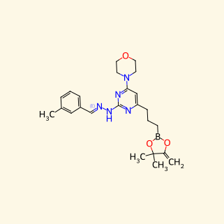 C=C1OB(CCCc2cc(N3CCOCC3)nc(N/N=C/c3cccc(C)c3)n2)OC1(C)C